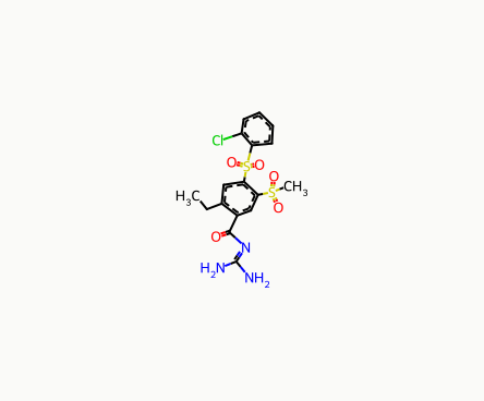 CCc1cc(S(=O)(=O)c2ccccc2Cl)c(S(C)(=O)=O)cc1C(=O)N=C(N)N